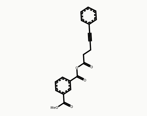 COC(=O)c1cccc(C(=O)OC(=O)CCC#Cc2ccccc2)c1